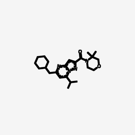 CC(C)c1cc(CC2CCCCC2)nc2cc(C(=O)N3CCOCC3(C)C)nn12